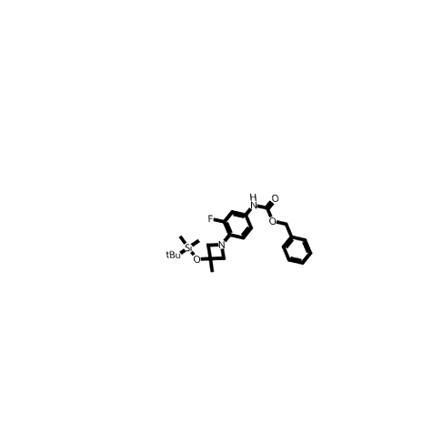 CC1(O[Si](C)(C)C(C)(C)C)CN(c2ccc(NC(=O)OCc3ccccc3)cc2F)C1